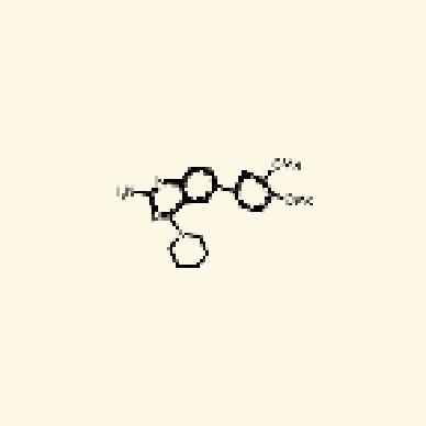 COc1ccc(-c2ccc3nc(N)nc(N4CCCCC4)c3c2)cc1OC